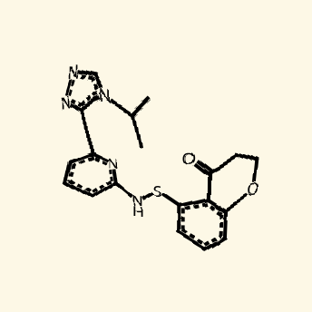 CC(C)n1cnnc1-c1cccc(NSc2cccc3c2C(=O)CCO3)n1